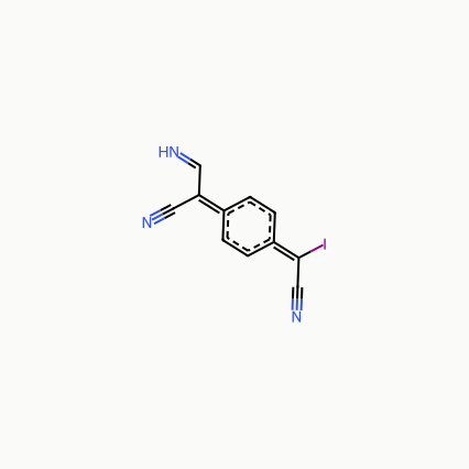 N#CC(I)=c1ccc(=C(C#N)C=N)cc1